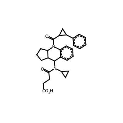 O=C(O)CCC(=O)N(C1CC1)C1c2ccccc2N(C(=O)C2CC2c2ccccc2)C2CCCC21